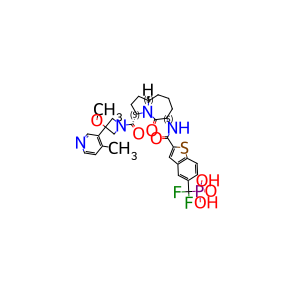 COC1(c2cnccc2C)CN(C(=O)[C@@H]2CC[C@@H]3CCC[C@H](NC(=O)c4cc5cc(C(F)(F)P(=O)(O)O)ccc5s4)C(=O)N32)C1